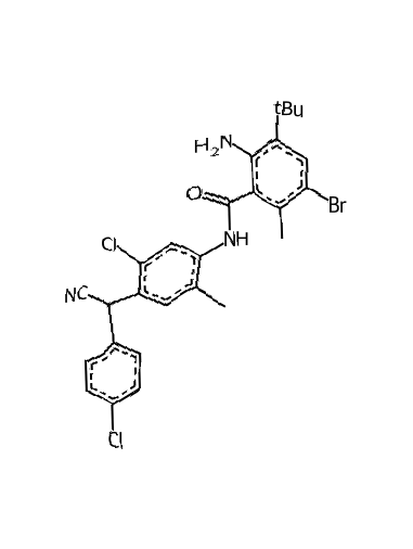 Cc1cc(C(C#N)c2ccc(Cl)cc2)c(Cl)cc1NC(=O)c1c(C)c(Br)cc(C(C)(C)C)c1N